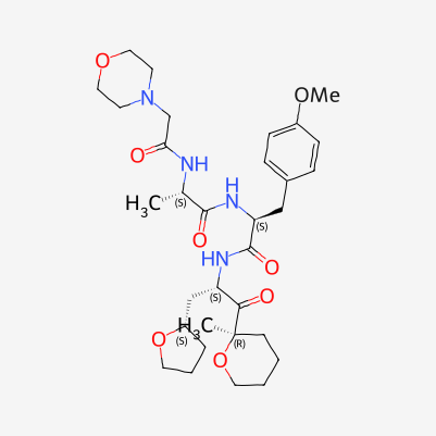 COc1ccc(C[C@H](NC(=O)[C@H](C)NC(=O)CN2CCOCC2)C(=O)N[C@@H](C[C@@H]2CCCO2)C(=O)[C@@]2(C)CCCCO2)cc1